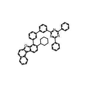 c1ccc(-c2nc(-c3ccccc3)nc(-c3cccc(-c4cccc(-c5c(C6CCCCC6)ccc6c5oc5ccc7ccccc7c56)c4)c3)n2)cc1